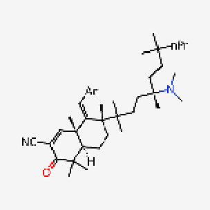 CCCC(C)(C)CC[C@@](C)(CCC(C)(C)[C@]1(C)CC[C@H]2C(C)(C)C(=O)C(C#N)=C[C@]2(C)/C1=C/C(C)=O)N(C)C